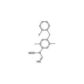 Cc1cc(N(C#N)C=N)c(C)cc1Cc1ccccc1F